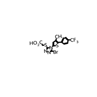 Cc1cc(-n2c(Br)nnc2SCC(=O)O)sc1-c1ccc(C(F)(F)F)cc1